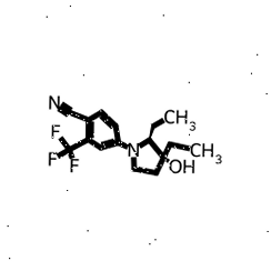 CC[C@@H]1N(c2ccc(C#N)c(C(F)(F)F)c2)CC[C@@]1(O)CC